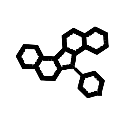 c1ccc2c(c1)ccc1c2c2ccc3ccccc3c2n1-c1ccncc1